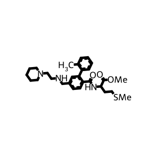 COC(=O)C(CCSC)NC(=O)c1ccc(CNCCN2CCCCC2)cc1-c1ccccc1C